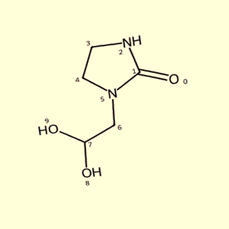 O=C1NCCN1CC(O)O